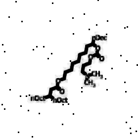 CCCCCCCCCCC(CCCCCCCCOC(=O)CC(CCCCCCCC)CCCCCCCC)OC(=O)OCCCN(C)C